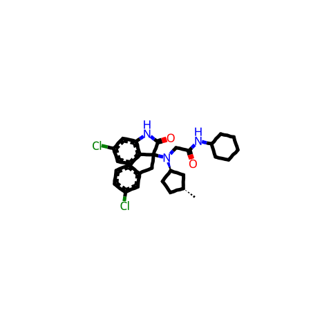 C[C@@H]1CC[C@@H](N(CC(=O)NC2CCCCC2)C2(Cc3cccc(Cl)c3)C(=O)Nc3cc(Cl)ccc32)C1